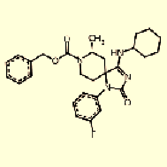 C[C@H]1CC2(CCN1C(=O)OCc1ccccc1)C(NC1CCCCC1)=NC(=O)N2c1cccc(F)c1